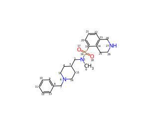 CN(CC1CCN(Cc2ccccc2)CC1)S(=O)(=O)c1cccc2c1CCNC2